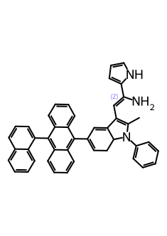 CC1=C(/C=C(\N)c2ccc[nH]2)C2=CC(c3c4ccccc4c(-c4cccc5ccccc45)c4ccccc34)=CCC2N1c1ccccc1